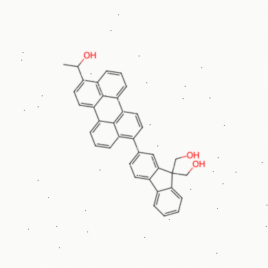 CC(O)c1ccc2c3cccc4c(-c5ccc6c(c5)C(CO)(CO)c5ccccc5-6)ccc(c5cccc1c52)c43